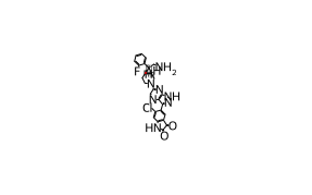 NC[C@]1(c2ccccc2F)[C@@H]2CCN(c3cnc4c(-c5cc6c(cc5Cl)NC(=O)C6=O)n[nH]c4n3)C[C@@H]21